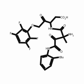 CC(N)(C(=O)NC(CC(=O)O)C(=O)COc1c(F)c(F)cc(F)c1F)C(=O)C(=O)Nc1ccccc1C(C)(C)C